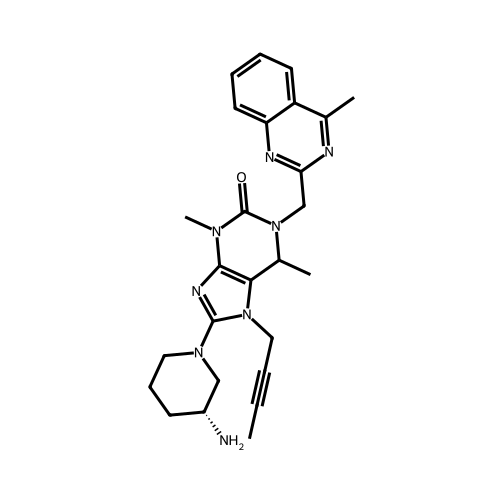 CC#CCn1c(N2CCC[C@@H](N)C2)nc2c1C(C)N(Cc1nc(C)c3ccccc3n1)C(=O)N2C